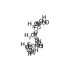 C[C@H](C1CCN(c2ncc(Cl)c(Nc3ccc4c(c3)c3c(c(=O)n4C)OCC(F)(F)[C@H](C4CC4)N3)n2)CC1)N1CCC(c2ccc3c(C4CCC(=O)NC4=O)nn(C)c3c2F)CC1